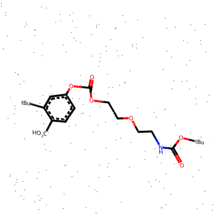 CC(C)(C)OC(=O)NCCOCCOC(=O)Oc1ccc(C(=O)O)c(C(C)(C)C)c1